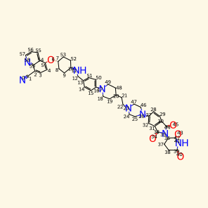 N#Cc1ccc(O[C@H]2CC[C@H](NCc3ccc(N4CCC(CCN5CCN(c6ccc7c(c6)C(=O)N(C6CCC(=O)NC6=O)C7=O)CC5)CC4)cc3)CC2)c2cccnc12